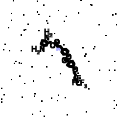 Nc1ccc(N)c(COC(=O)/C=C/c2ccc(OC(=O)c3ccc(OCCCC(F)(F)C(F)(F)F)cc3)cc2)c1